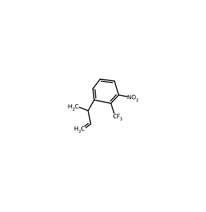 [CH2]C(C=C)c1cccc([N+](=O)[O-])c1C(F)(F)F